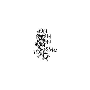 CSc1nc(NC(C)c2ccccc2)c2ncn([C@@H]3O[C@H](CO)[C@@H](O)[C@H]3O)c2n1